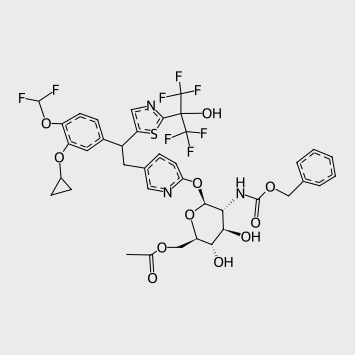 CC(=O)OC[C@H]1O[C@@H](Oc2ccc(CC(c3ccc(OC(F)F)c(OC4CC4)c3)c3cnc(C(O)(C(F)(F)F)C(F)(F)F)s3)cn2)[C@H](NC(=O)OCc2ccccc2)[C@@H](O)[C@@H]1O